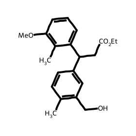 CCOC(=O)CC(c1ccc(C)c(CO)c1)c1cccc(OC)c1C